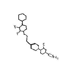 CC1CCC(C2CCC(CCCC3CCC(C4CCCCC4)C(F)C3F)CC2)C(F)C1